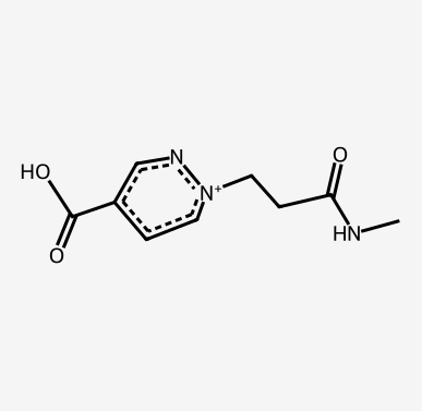 CNC(=O)CC[n+]1ccc(C(=O)O)cn1